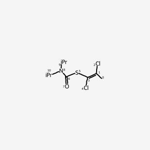 CC(Cl)=C(Cl)SC(=O)N(C(C)C)C(C)C